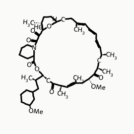 CO[C@H]1CCCC(C[C@@H](C)[C@@H]2CC(=O)[C@H](C)/C=C(\C)C[C@@H](OC)C(=O)[C@H](C)C[C@H](C)/C=C/C=C/C=C(\C)CC[C@@H]3CC[C@@H](C)[C@@](O)(O3)C(=O)C(=O)N3CCCCC3C(=O)O2)C1